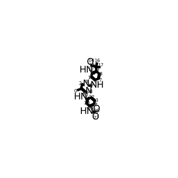 Cc1cnc(Nc2ccc3c(c2)NC(=O)C3(C)C)nc1Nc1ccc2oc(=O)[nH]c2c1